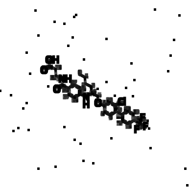 CCCC[C@@H](COc1ccc(-c2ccc(C(F)(F)F)cc2)c(Cl)c1)Nc1ccc(C(=O)NCCC(=O)O)cc1